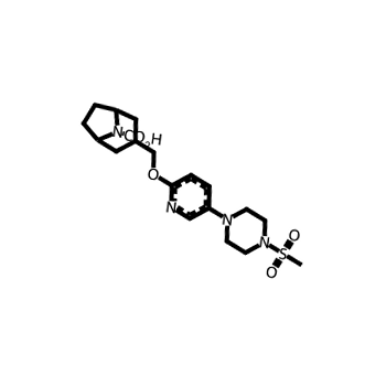 CS(=O)(=O)N1CCN(c2ccc(OCC3CC4CCC(C3)N4C(=O)O)nc2)CC1